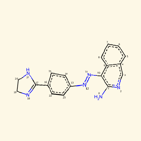 Nc1ncc2ccccc2c1/N=N/c1ccc(C2=NCCN2)cc1